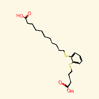 O=C(O)CCCCCCCCCCSc1ccccc1SCCCC(=O)O